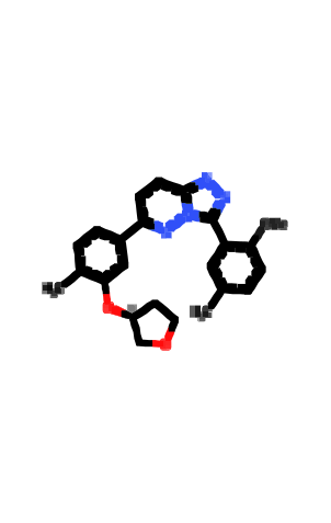 COc1ccc(C)cc1-c1nnc2ccc(-c3ccc(C)c(O[C@H]4CCOC4)c3)nn12